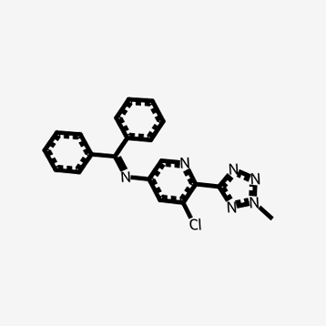 Cn1nnc(-c2ncc(N=C(c3ccccc3)c3ccccc3)cc2Cl)n1